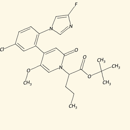 CCCC(C(=O)OC(C)(C)C)n1cc(OC)c(-c2cc(Cl)ccc2-n2cnc(F)c2)cc1=O